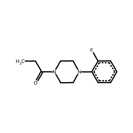 CCC(=O)N1CCN(c2ccccc2F)CC1